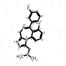 CN(C)Cc1nnc2n1-c1cccc(F)c1C(c1cccc(F)c1)=NC2